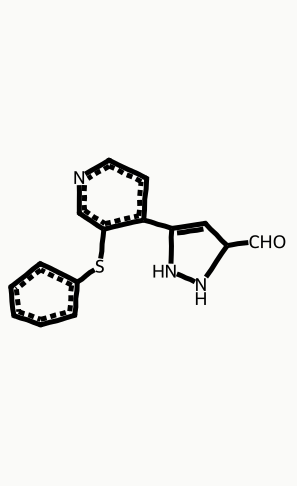 O=CC1C=C(c2ccncc2Sc2ccccc2)NN1